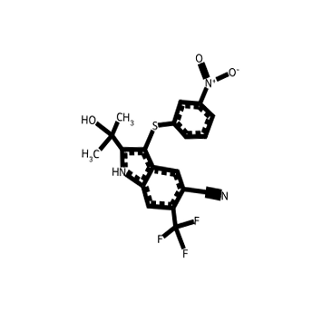 CC(C)(O)c1[nH]c2cc(C(F)(F)F)c(C#N)cc2c1Sc1cccc([N+](=O)[O-])c1